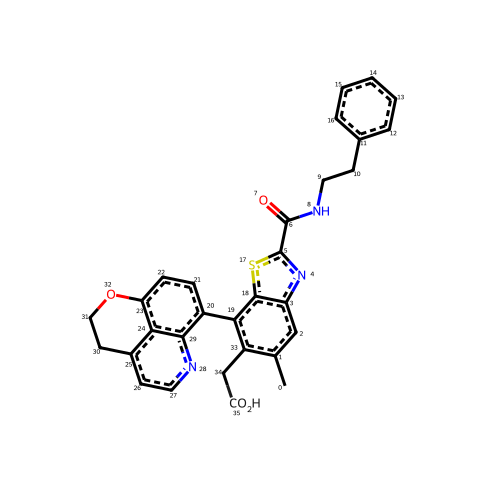 Cc1cc2nc(C(=O)NCCc3ccccc3)sc2c(-c2ccc3c4c(ccnc24)CCO3)c1CC(=O)O